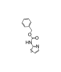 O=C(Nc1nccs1)OCc1ccccc1